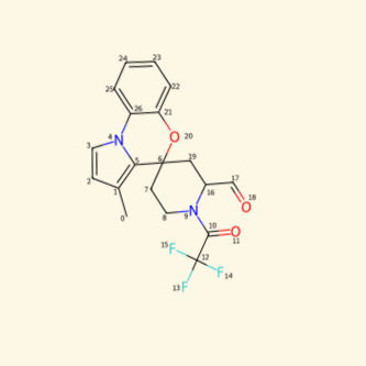 Cc1ccn2c1C1(CCN(C(=O)C(F)(F)F)C(C=O)C1)Oc1ccccc1-2